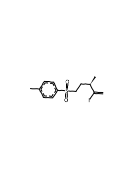 C=C(I)[C@H](C)CCS(=O)(=O)c1ccc(C)cc1